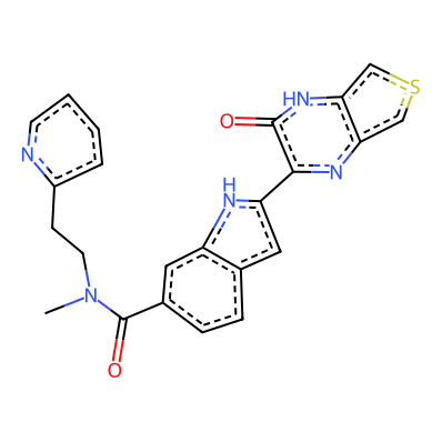 CN(CCc1ccccn1)C(=O)c1ccc2cc(-c3nc4cscc4[nH]c3=O)[nH]c2c1